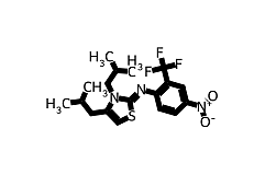 CC(C)Cc1csc(=Nc2ccc([N+](=O)[O-])cc2C(F)(F)F)n1CC(C)C